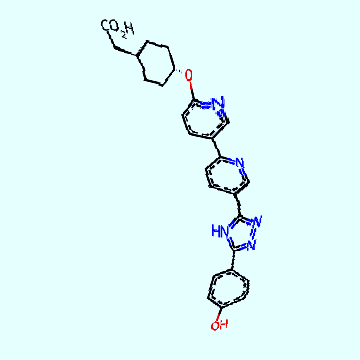 O=C(O)C[C@H]1CC[C@H](Oc2ccc(-c3ccc(-c4nnc(-c5ccc(O)cc5)[nH]4)cn3)cn2)CC1